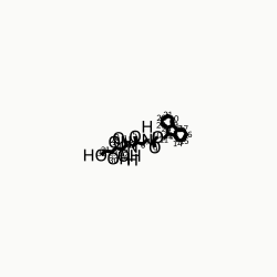 O=C[C@@H](NC(=O)CNC(=O)OCC1c2ccccc2-c2ccccc21)[C@@H](O)[C@H](O)[C@H](O)CO